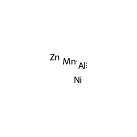 [Al].[Mn].[Ni].[Zn]